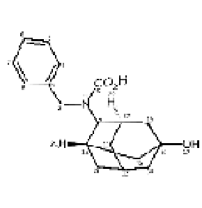 O=C(O)N(Cc1ccccc1)C1[C@@H]2CC3C[C@H]1CC(O)(C3)C2